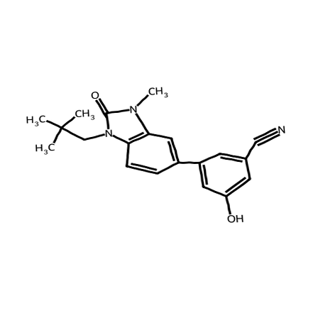 Cn1c(=O)n(CC(C)(C)C)c2ccc(-c3cc(O)cc(C#N)c3)cc21